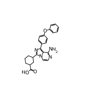 Nc1nccn2c(C3CCCC(C(=O)O)C3)nc(-c3ccc(Oc4ccccc4)cc3)c12